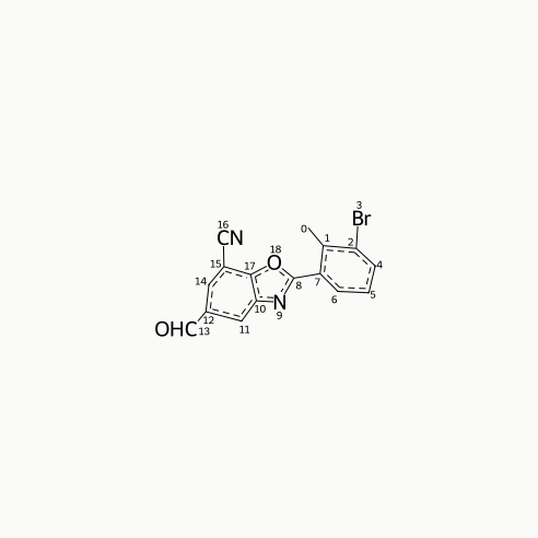 Cc1c(Br)cccc1-c1nc2cc(C=O)cc(C#N)c2o1